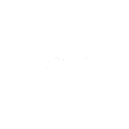 CC(=O)SCC(=O)c1ccc(NS(=O)(=O)c2ccc(CO)cc2)cc1